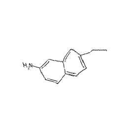 CCc1ccc2ccc(N)cc2c1